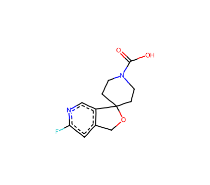 O=C(O)N1CCC2(CC1)OCc1cc(F)ncc12